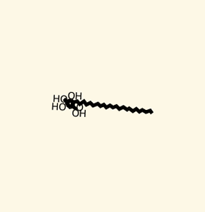 CCCCCCCCCCCCCCCCCCCCCCCCc1c(C(=O)O)cc(O)c(O)c1O